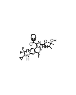 CC(NC(=O)c1nc(C(=O)N2C3CCC2CC3)c(-c2cnc(N[C@@H](C3CC3)C(F)(F)F)cc2C(F)F)s1)C(C)(C)O